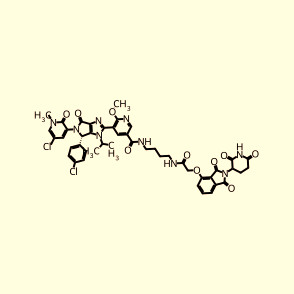 COc1ncc(C(=O)NCCCCNC(=O)COc2cccc3c2C(=O)N(C2CCC(=O)NC2=O)C3=O)cc1-c1nc2c(n1C(C)C)[C@H](c1ccc(Cl)cc1)N(c1cc(Cl)cn(C)c1=O)C2=O